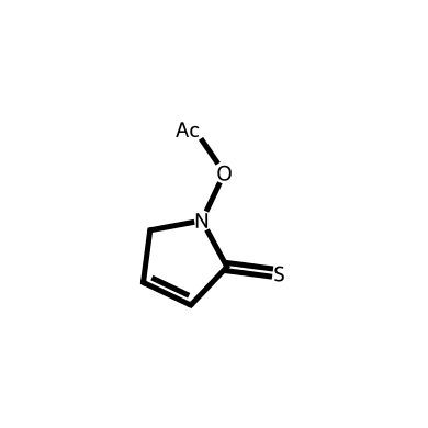 CC(=O)ON1CC=CC1=S